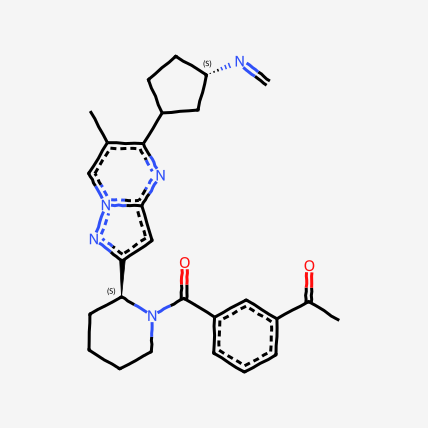 C=N[C@H]1CCC(c2nc3cc([C@@H]4CCCCN4C(=O)c4cccc(C(C)=O)c4)nn3cc2C)C1